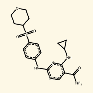 NC(=O)c1cnc(Nc2ccc(S(=O)(=O)C3CCOCC3)cc2)nc1NC1CC1